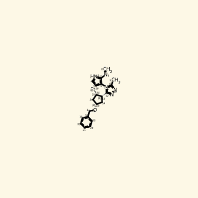 C=Nc1[nH]ccc1-n1c(C)nnc1[C@@H]1C[C@H](OCc2ccccc2)C[C@@H]1CC